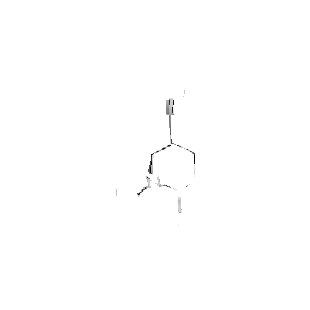 C#CC1COS(=O)N(C)C1